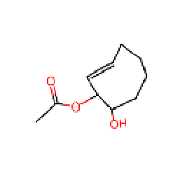 CC(=O)OC1/C=C/CCCCC1O